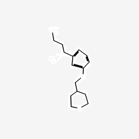 N[C@H](CCO)c1cccc(OCC2CCOCC2)c1